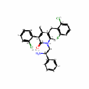 Cc1c(Cc2c(F)cccc2Cl)c(C)n(CC(N)c2ccccc2)c(=O)c1-c1ccccc1Cl